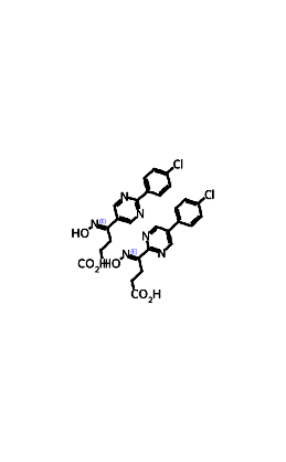 O=C(O)CC/C(=N\O)c1cnc(-c2ccc(Cl)cc2)nc1.O=C(O)CC/C(=N\O)c1ncc(-c2ccc(Cl)cc2)cn1